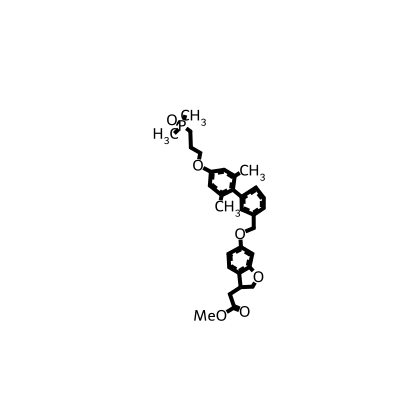 COC(=O)CC1COc2cc(OCc3cccc(-c4c(C)cc(OCCCP(C)(C)=O)cc4C)c3)ccc21